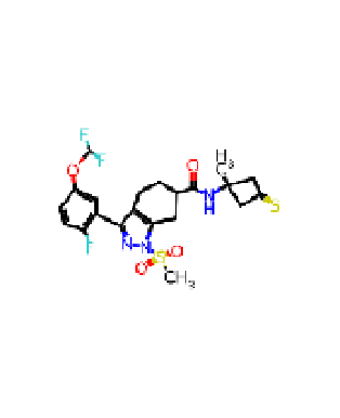 CC1(NC(=O)C2CCc3c(-c4cc(OC(F)F)ccc4F)nn(S(C)(=O)=O)c3C2)CC(=S)C1